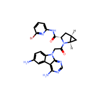 Nc1ccc2c(c1)c1c(N)ncnc1n2CC(=O)N1[C@@H]2C[C@@H]2C[C@H]1C(=O)Nc1cccc(Br)n1